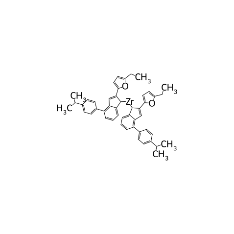 CCc1ccc(C2=Cc3c(-c4ccc(C(C)C)cc4)cccc3[CH]2[Zr][CH]2C(c3ccc(CC)o3)=Cc3c(-c4ccc(C(C)C)cc4)cccc32)o1